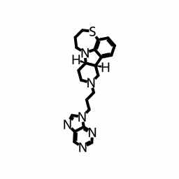 c1cc2c3c(c1)[C@@H]1CN(CCCn4cnc5cncnc54)CC[C@@H]1N3CCCS2